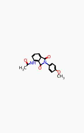 COc1ccc(N2C(=O)c3cccc(NC(C)=O)c3C2=O)cc1